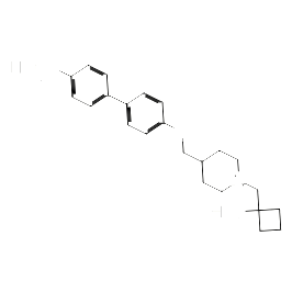 CC1(CN2CCC(COc3ccc(-c4ccc(C(=O)O)cc4)cc3)CC2)CCC1